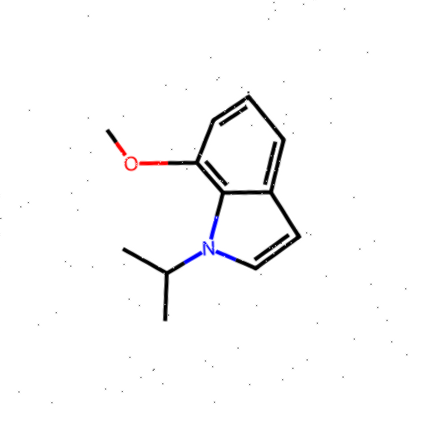 COc1c[c]cc2ccn(C(C)C)c12